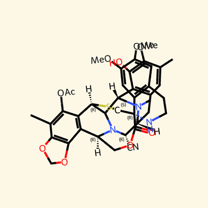 COc1cc2c(cc1OC)[C@@]1(CS[C@@H]3c4c(OC(C)=O)c(C)c5c(c4[C@H](COC1=O)N1C3[C@@H]3c4c(cc(C)c(OC)c4O)C[C@H]([C@@H]1C#N)N3C)OCO5)NCC2